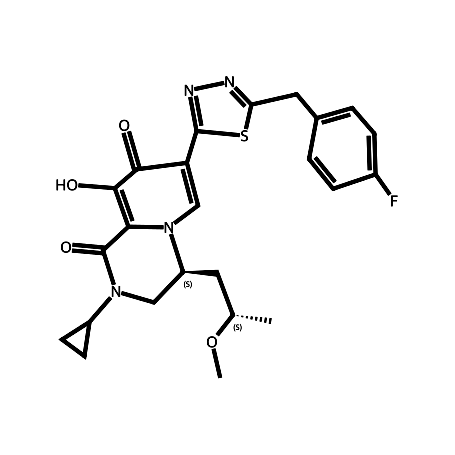 CO[C@@H](C)C[C@H]1CN(C2CC2)C(=O)c2c(O)c(=O)c(-c3nnc(Cc4ccc(F)cc4)s3)cn21